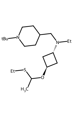 CCSC(C)O[C@H]1C[C@H](N(CC)CC2CCN(C(C)(C)C)CC2)C1